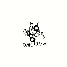 COc1cc2c(cc1OC)C(C)(C)c1c-2n[nH]c1Nc1cccc(F)c1